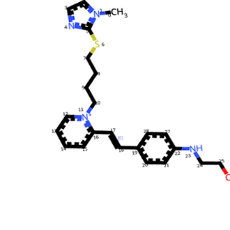 Cn1ccnc1SCCCC[n+]1ccccc1/C=C/c1ccc(NCCO)cc1